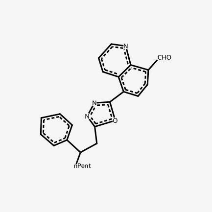 CCCCCC(Cc1nnc(-c2ccc(C=O)c3ncccc23)o1)c1ccccc1